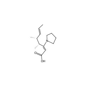 CC=C[C@@H](C)[C@@H](C)C(=CC(=O)O)N1CCCC1